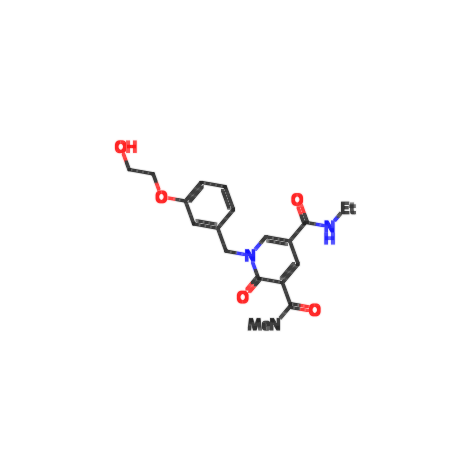 CCNC(=O)c1cc(C(=O)NC)c(=O)n(Cc2cccc(OCCO)c2)c1